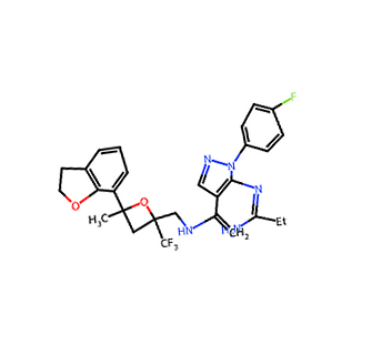 C=C(NCC1(C(F)(F)F)CC(C)(c2cccc3c2OCC3)O1)c1cnn(-c2ccc(F)cc2)c1/N=C(\N)CC